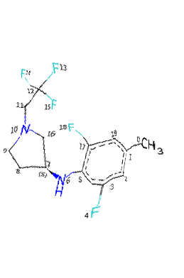 Cc1cc(F)c(N[C@H]2CCN(CC(F)(F)F)C2)c(F)c1